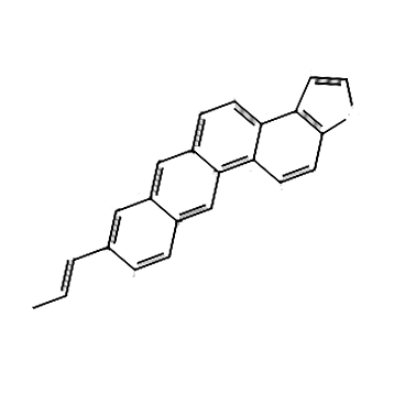 C/C=C/c1ccc2cc3c(ccc4c5ccoc5ccc34)cc2c1